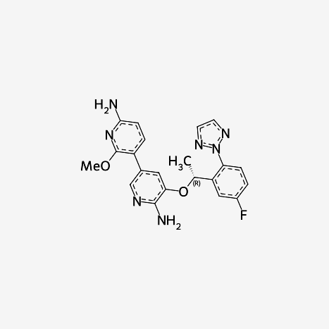 COc1nc(N)ccc1-c1cnc(N)c(O[C@H](C)c2cc(F)ccc2-n2nccn2)c1